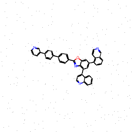 c1cncc(-c2ccc(-c3ccc(-c4nc5c(-c6ccnc7ccccc67)cc(-c6cccc7cnccc67)cc5o4)cc3)cc2)c1